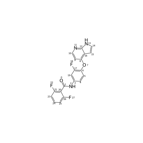 O=C(Nc1ccc(Oc2ccnc3[nH]ccc23)c(F)c1)c1c(F)cccc1F